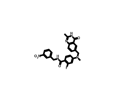 Cc1nc2ccc(CN(C)c3ccc(C(=O)NCc4cccc([N+](=O)[O-])c4)c(F)c3)cc2c(=O)[nH]1